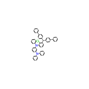 Clc1c(C(c2ccc(-c3ccccc3)cc2)c2ccc(-c3ccccc3)cc2)cccc1N(c1ccccc1)c1cccc(N(c2ccccc2)c2ccccc2)c1